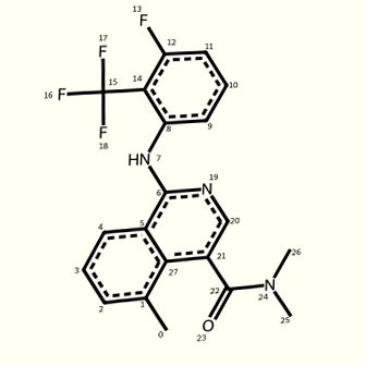 Cc1cccc2c(Nc3cccc(F)c3C(F)(F)F)ncc(C(=O)N(C)C)c12